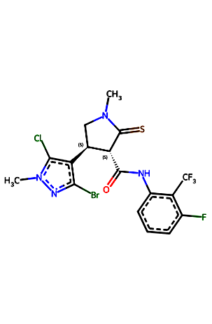 CN1C[C@H](c2c(Br)nn(C)c2Cl)[C@@H](C(=O)Nc2cccc(F)c2C(F)(F)F)C1=S